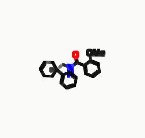 COc1ccccc1C(=O)NC[C@@]1(c2ccccc2)CC=CCC1